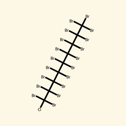 [O]C(Br)(Br)C(Br)(Br)C(Br)(Br)C(Br)(Br)C(Br)(Br)C(Br)(Br)C(Br)(Br)C(Br)(Br)C(Br)(Br)Br